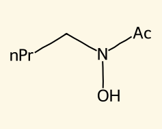 [CH2]CCCN(O)C(C)=O